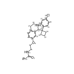 CC(C)C(=O)NCCOc1ccc2c(c1)C(C1(c3ccc(Cl)cc3)CCC1)NCC2